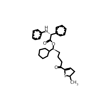 CC1CC=C(C(=O)CCC[C@H](OC(=O)[C@H](Nc2ccccc2)c2ccccc2)C2CCCCC2)S1